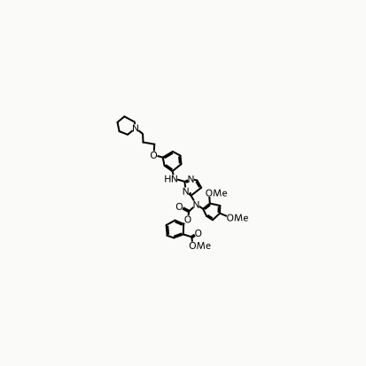 COC(=O)c1ccccc1OC(=O)N(c1ccnc(Nc2cccc(OCCCN3CCCCC3)c2)n1)c1ccc(OC)cc1OC